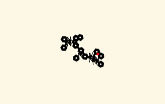 c1ccc(-c2nc(-n3c4ccc(-c5ccc6c7cc(-c8nc(-c9ccccc9)c9c(n8)nc(-c8ccccc8)n9-c8ccccc8)ccc7n(-c7ccccc7)c6c5)cc4c4c5ccccc5ccc43)nc3ccccc23)cc1